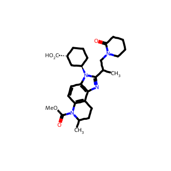 COC(=O)N1c2ccc3c(nc(C(C)CN4CCCCC4=O)n3[C@@H]3CCC[C@@H](C(=O)O)C3)c2CCC1C